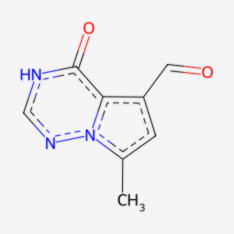 Cc1cc(C=O)c2c(=O)[nH]cnn12